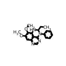 CCC1Nc2c(OC)c(OC)cc3ncnc(c23)N1c1ccccc1